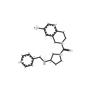 O=C(N1CCc2ncc(C(F)(F)F)cc2C1)N1CCC(NCc2ccncc2)C1